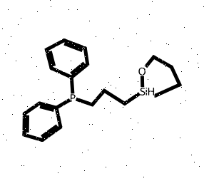 c1ccc(P(CCC[SiH]2CCCCO2)c2ccccc2)cc1